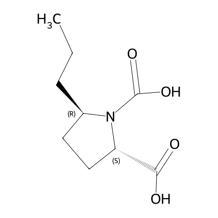 CCC[C@@H]1CC[C@@H](C(=O)O)N1C(=O)O